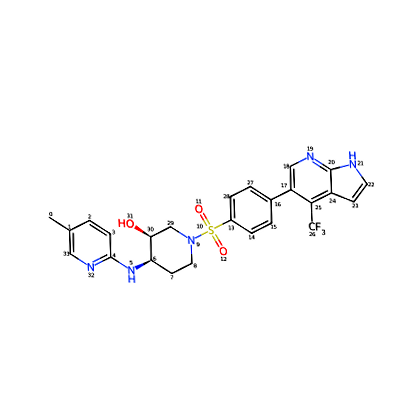 Cc1ccc(N[C@@H]2CCN(S(=O)(=O)c3ccc(-c4cnc5[nH]ccc5c4C(F)(F)F)cc3)C[C@@H]2O)nc1